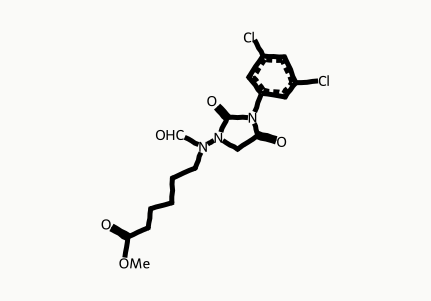 COC(=O)CCCCCN(C=O)N1CC(=O)N(c2cc(Cl)cc(Cl)c2)C1=O